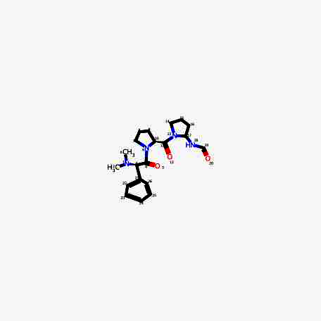 CN(C)[C@@H](C(=O)N1CCC[C@H]1C(=O)N1CCCC1NC=O)c1ccccc1